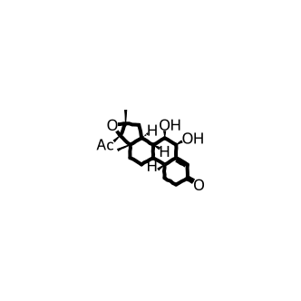 CC(=O)[C@@]12O[C@]1(C)C[C@H]1[C@@H]3[C@@H](O)[C@@H](O)C4=CC(=O)CC[C@]4(C)[C@H]3CC[C@@]12C